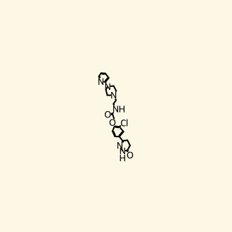 O=C(COc1ccc(C2=NNC(=O)CC2)cc1Cl)NCCN1CCN(c2ccccn2)CC1